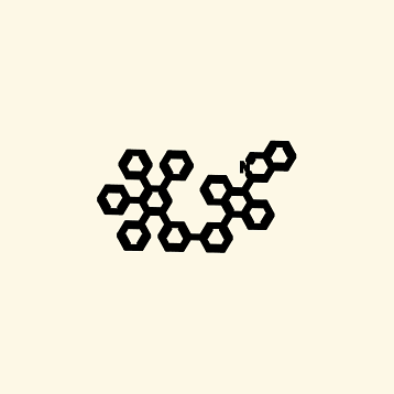 c1ccc(-c2cc(-c3cccc(-c4cccc(-c5c6ccccc6c(-c6cc7ccccc7cn6)c6ccccc56)c4)c3)c(-c3ccccc3)c(-c3ccccc3)c2-c2ccccc2)cc1